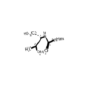 CCCCCCC(=O)N[C@@H](C(=O)O)C(C)O